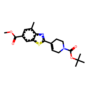 COC(=O)c1cc(C)c2nc(C3=CCN(C(=O)OC(C)(C)C)CC3)sc2c1